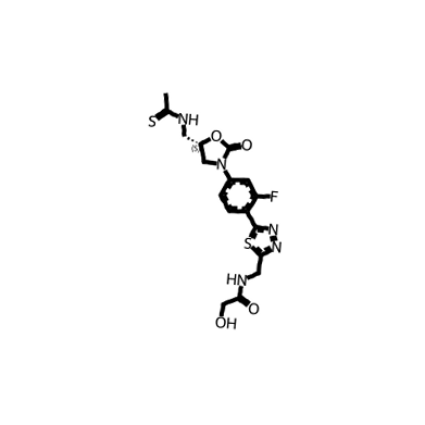 CC(=S)NC[C@H]1CN(c2ccc(-c3nnc(CNC(=O)CO)s3)c(F)c2)C(=O)O1